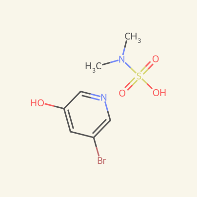 CN(C)S(=O)(=O)O.Oc1cncc(Br)c1